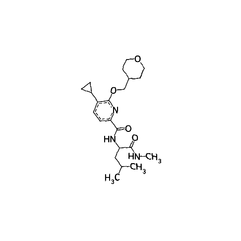 CNC(=O)C(CC(C)C)NC(=O)c1ccc(C2CC2)c(OCC2CCOCC2)n1